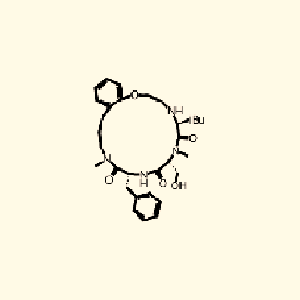 CCC(C)[C@@H]1NCCOc2ccccc2CCCN(C)C(=O)[C@@H](Cc2ccccc2)NC(=O)[C@@H](CO)N(C)C1=O